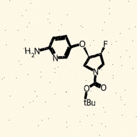 CC(C)(C)OC(=O)N1C[C@H](F)[C@H](Oc2ccc(N)nc2)C1